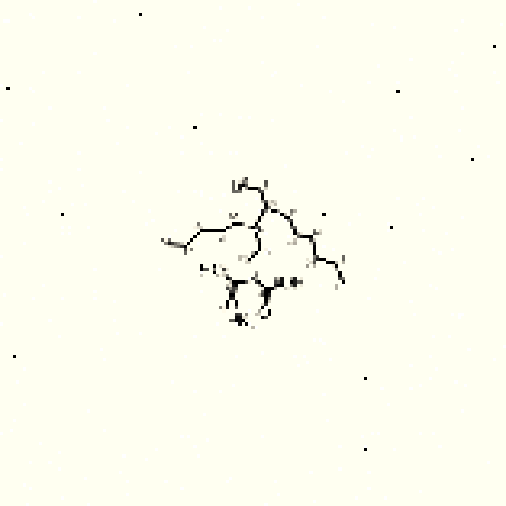 O=C(O)CC(=O)O.[KH].[Li][CH2]C(CCCCCC)C(CC)CCCCC